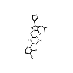 CC(C)Cn1c(-c2ccsc2)nn(CC(=O)NC(CO)c2cccc(Cl)c2F)c1=O